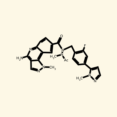 CC(=O)N(C)N(Cc1ccc(-c2ccnn2C)cc1F)C(=O)c1ccc2nc(N)c3cnn(C)c3c2c1